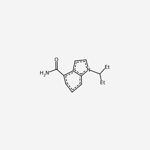 CCC(CC)n1ccc2c(C(N)=O)cccc21